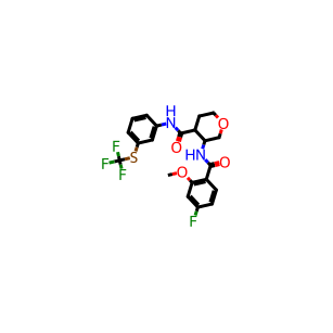 COc1cc(F)ccc1C(=O)NC1COCCC1C(=O)Nc1cccc(SC(F)(F)F)c1